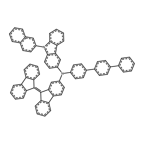 c1ccc(-c2ccc(-c3ccc(N(c4ccc5c(c4)C(=C4c6ccccc6-c6ccccc64)c4ccccc4-5)c4ccc5c(c4)c4ccccc4n5-c4ccc5ccccc5c4)cc3)cc2)cc1